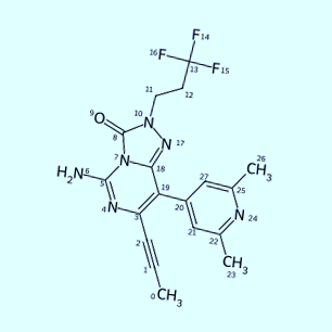 CC#Cc1nc(N)n2c(=O)n(CCC(F)(F)F)nc2c1-c1cc(C)nc(C)c1